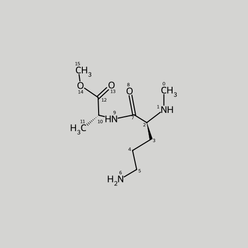 CN[C@@H](CCCN)C(=O)N[C@H](C)C(=O)OC